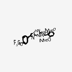 COc1cccc(OC)c1CNC(=N)Nc1nc(-c2ccc(OC(F)(F)F)cc2)cs1